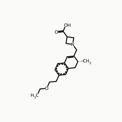 CCOCCc1ccc2c(c1)C[C@@H](C)C(CN1CC(C(=O)O)C1)=C2